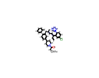 C=C/C(=C\C=C(/C)[C@@H](Cc1ccccc1)c1cccc(C2CCN(C(=O)COC)CC2)c1)c1cc(Cl)ccc1-n1cnnn1